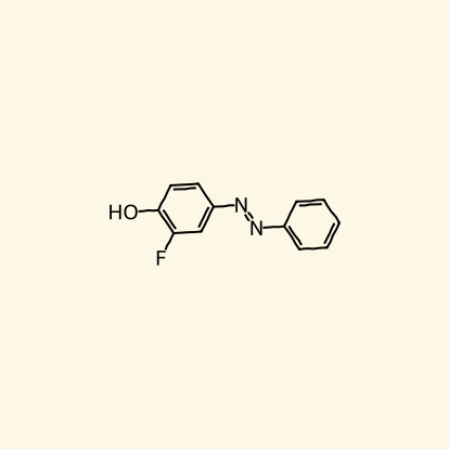 Oc1ccc(N=Nc2ccccc2)cc1F